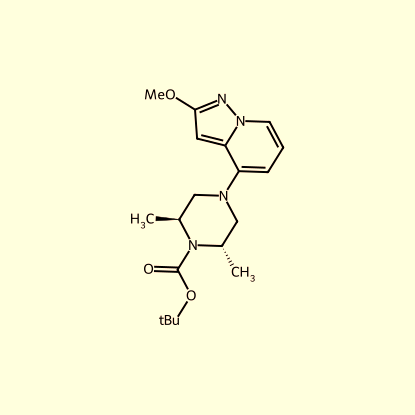 COc1cc2c(N3C[C@H](C)N(C(=O)OC(C)(C)C)[C@@H](C)C3)cccn2n1